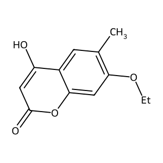 CCOc1cc2oc(=O)cc(O)c2cc1C